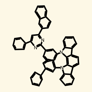 c1ccc(-c2cccc(-n3c4ccccc4c4ccc5c6ccccc6n(-c6cccc(-c7nc(-c8ccccc8)cc(-c8ccc9ccccc9c8)n7)c6)c5c43)c2)cc1